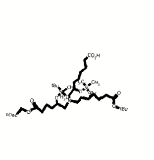 CCCCCCCCCCCOC(=O)CCCC(CN(CCCCCCC(=O)OC(C)(C)C)CC(CCCCCC(=O)O)O[Si](C)(C)C(C)(C)C)O[Si](C)(C)C(C)(C)C